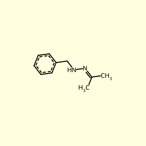 CC(C)=NNCc1ccccc1